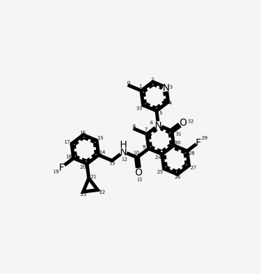 Cc1cncc(-n2c(C)c(C(=O)NCc3cccc(F)c3C3CC3)c3cccc(F)c3c2=O)c1